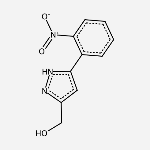 O=[N+]([O-])c1ccccc1-c1cc(CO)n[nH]1